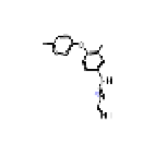 Cc1ccc(Oc2ccc(N/C=N/C=N)cc2C)cn1